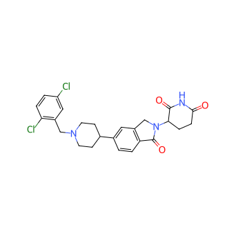 O=C1CCC(N2Cc3cc(C4CCN(Cc5cc(Cl)ccc5Cl)CC4)ccc3C2=O)C(=O)N1